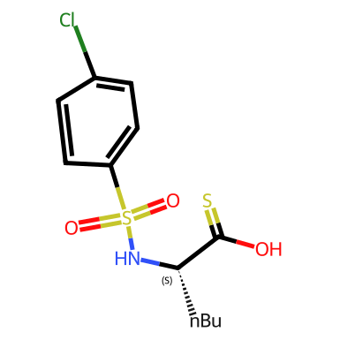 CCCC[C@H](NS(=O)(=O)c1ccc(Cl)cc1)C(O)=S